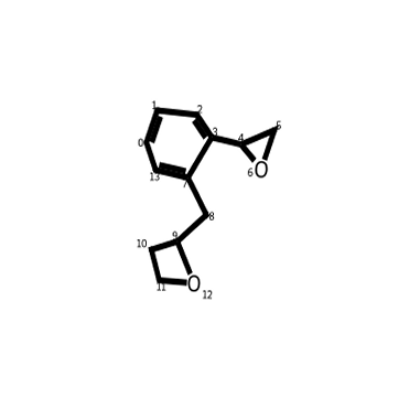 c1ccc(C2CO2)c(CC2CCO2)c1